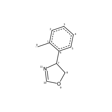 [CH2]c1ccccc1C1COC=N1